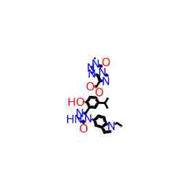 CCn1ccc2cc(-n3c(-c4cc(C(C)C)c(OC(=O)c5ncn6c(=O)n(C)nnc56)cc4O)n[nH]c3=O)ccc21